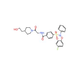 O=C(NCC(=O)N1CCC(CCO)CC1)c1ccc(S(=O)(=O)N(Oc2ccc(F)cc2)c2ccccc2)cc1